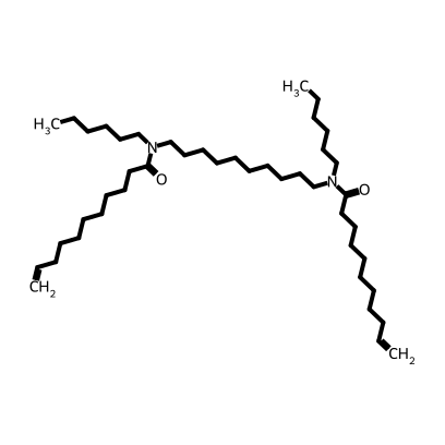 C=CCCCCCCCCC(=O)N(CCCCCC)CCCCCCCCCCN(CCCCCC)C(=O)CCCCCCCCC=C